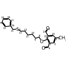 Cc1cc(C=O)c(OCCCCCCSCc2ccccc2)c(C=O)c1